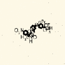 CCCc1cc(C(O)(C(F)(F)F)C(F)(F)F)ccc1Oc1ccnc(CN2C(=O)NC(C)(c3ccc([N+](=O)[O-])cc3)C2=O)c1